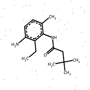 CCc1c(N)ccc(C)c1NC(=O)CC(C)(C)C